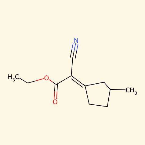 CCOC(=O)C(C#N)=C1CCC(C)C1